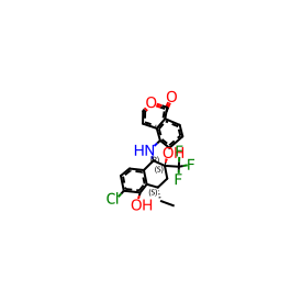 CC[C@H]1C[C@@](O)(C(F)(F)F)[C@H](Nc2cccc3c(=O)occc23)c2ccc(Cl)c(O)c21